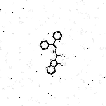 O=C(NC=C(c1ccccc1)c1ccccc1)c1sc2ncccc2c1O